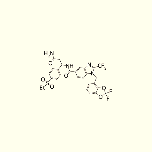 CCS(=O)(=O)c1ccc(C(CC(N)=O)NC(=O)c2ccc3c(c2)nc(C(F)(F)F)n3Cc2cccc3c2OC(F)(F)O3)cc1